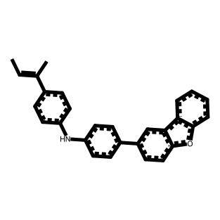 C/C=C(\C)c1ccc(Nc2ccc(-c3ccc4oc5ccccc5c4c3)cc2)cc1